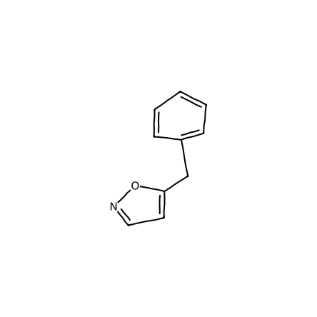 c1ccc(Cc2ccno2)cc1